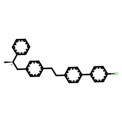 C[C@H](Cc1ccc(CCc2ccc(-c3ccc(Cl)cc3)cc2)cc1)c1ccccc1